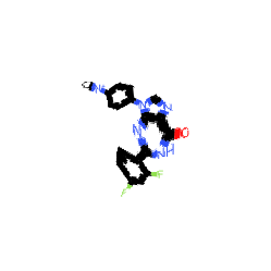 [C-]#[N+]c1ccc(-n2cnc3c(=O)[nH]c(-c4ccc(F)cc4F)nc32)cc1